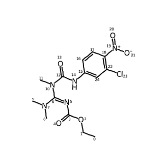 CCOC(=O)N=C(N(C)C)N(C)C(=O)Nc1ccc([N+](=O)[O-])c(Cl)c1